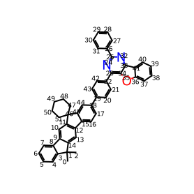 CC1(C)c2ccccc2-c2cc3c(cc21)-c1ccc(-c2ccc(-c4nc(-c5ccccc5)nc5c4oc4ccccc45)cc2)cc1C31CCCCC1